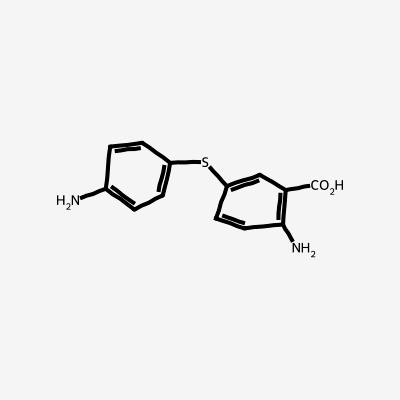 Nc1ccc(Sc2ccc(N)c(C(=O)O)c2)cc1